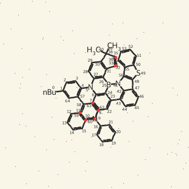 CCCCc1ccc(N2c3cc(N(c4ccccc4)c4ccccc4)cc4c3B(c3c2ccc2c3-c3ccccc3C2(C)C)n2c3c-4cccc3c3sc4ccccc4c32)c(-c2ccccc2)c1